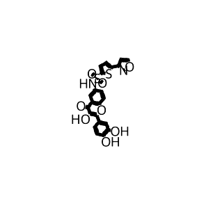 O=c1c(O)c(-c2ccc(O)c(O)c2)oc2ccc(NS(=O)(=O)c3ccc(-c4ccon4)s3)cc12